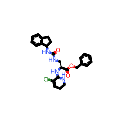 O=C(NC[C@H](NC1NCCC=C1Cl)C(=O)OCc1ccccc1)NC1CCc2ccccc21